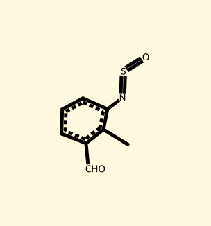 Cc1c(C=O)cccc1N=S=O